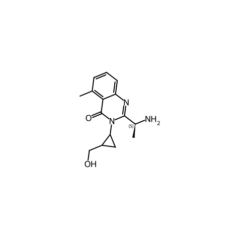 Cc1cccc2nc([C@H](C)N)n(C3CC3CO)c(=O)c12